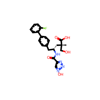 C[C@@](CO)(C[C@@H](Cc1ccc(-c2ccccc2F)cc1)NC(=O)c1cn(O)nn1)C(=O)O